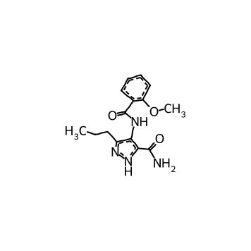 CCCc1n[nH]c(C(N)=O)c1NC(=O)c1ccccc1OC